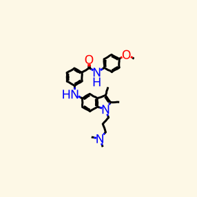 COc1ccc(NC(=O)c2cccc(Nc3ccc4c(c3)c(C)c(C)n4CCCN(C)C)c2)cc1